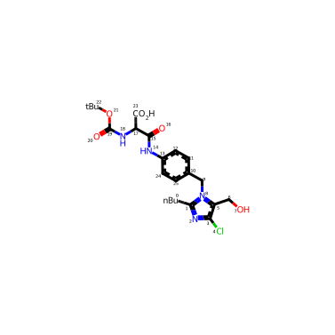 CCCCc1nc(Cl)c(CO)n1Cc1ccc(NC(=O)C(NC(=O)OC(C)(C)C)C(=O)O)cc1